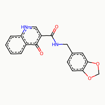 O=C(NCc1ccc2c(c1)OCO2)c1c[nH]c2ccccc2c1=O